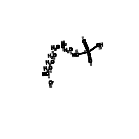 Cl.O.O.O.O.O.O.O=S(=O)(O)O.[Cr]